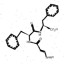 CCCCCCC/C=C/C(=O)N[C@@H](Cc1ccccc1)C(=O)N[C@@H](Cc1ccccc1)C(=O)O